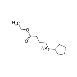 CCOC(=O)CCC[AsH]C1CCCC1